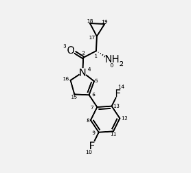 N[C@H](C(=O)N1C=C(c2cc(F)ccc2F)CC1)C1CC1